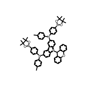 Cc1ccc(N(c2ccc(B3OC(C)(C)C(C)(C)O3)cc2)c2ccc3c(c2)c2cc(N(c4ccc(C)cc4)c4ccc(B5OC(C)(C)C(C)(C)O5)cc4)ccc2n3C2c3ccccc3Oc3ccccc32)cc1